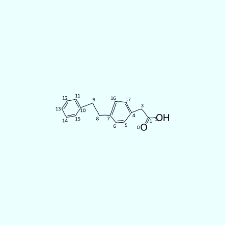 O=C(O)Cc1ccc(CCc2ccccc2)cc1